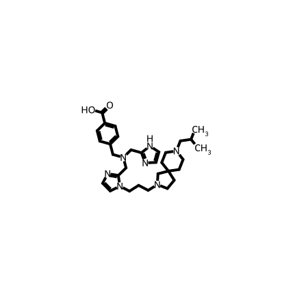 CC(C)CN1CCC2(CC1)CCN(CCCn1ccnc1CN(Cc1ccc(C(=O)O)cc1)Cc1ncc[nH]1)C2